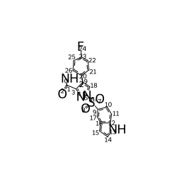 NC(=O)c1nn(S(=O)(=O)c2ccc3[nH]ccc3c2)cc1-c1ccc(F)cc1